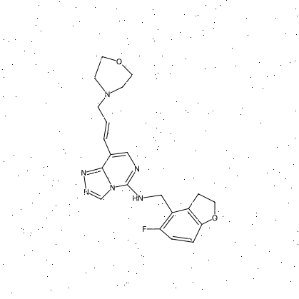 Fc1ccc2c(c1CNc1ncc(/C=C/CN3CCOCC3)c3nncn13)CCO2